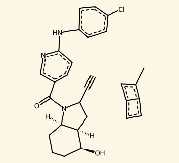 C#CC1C[C@@H]2[C@@H](CCC[C@@H]2O)N1C(=O)c1ccc(Nc2ccc(Cl)cc2)nc1.Cc1cc2ccc1-2